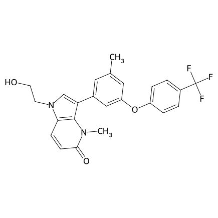 Cc1cc(Oc2ccc(C(F)(F)F)cc2)cc(-c2cn(CCO)c3ccc(=O)n(C)c23)c1